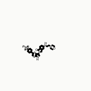 CC(C)S(=O)(=O)c1ccc(-c2cnc3[nH]cc(N4Cc5cc(NCCN6CCOCC6)ccc5C4=O)c3n2)cc1